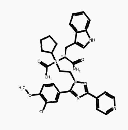 COc1ccc(-c2nc(-c3ccncc3)nn2CC[N+](C(C)=O)(C2CCCC2)[C@@H](Cc2c[nH]c3ccccc23)C(N)=O)cc1Cl